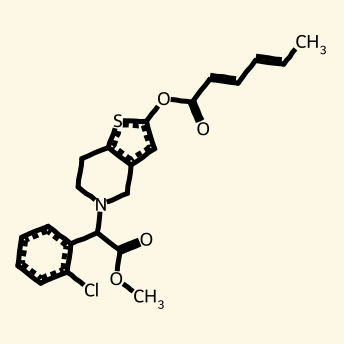 C/C=C/C=C/C(=O)Oc1cc2c(s1)CCN(C(C(=O)OC)c1ccccc1Cl)C2